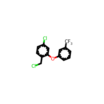 FC(F)(F)c1cccc(Oc2cc(Cl)ccc2CCl)c1